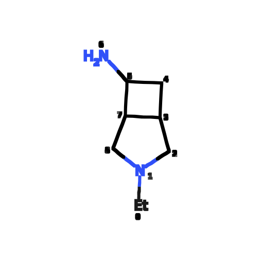 CCN1CC2CC(N)C2C1